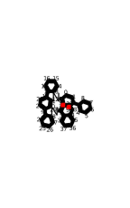 C1=CC(c2ccccc2)CC=C1n1c2ccccc2c2ccc3c4ccccc4n(-c4cccc5ccccc45)c3c21